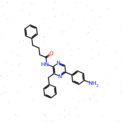 Nc1ccc(-c2cnc(NC(=O)CCCc3ccccc3)c(Cc3ccccc3)n2)cc1